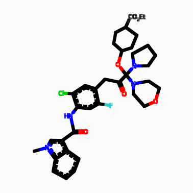 CCOC(=O)C1CCC(OC(C(=O)Cc2cc(Cl)c(NC(=O)c3cn(C)c4ccccc34)cc2F)(N2CCCC2)N2CCOCC2)CC1